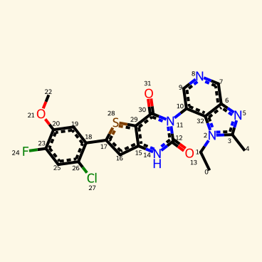 CCn1c(C)nc2cncc(-n3c(=O)[nH]c4cc(-c5cc(OC)c(F)cc5Cl)sc4c3=O)c21